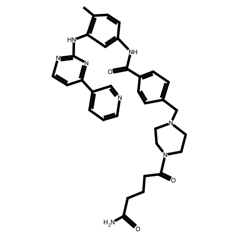 Cc1ccc(NC(=O)c2ccc(CN3CCN(C(=O)CCCC(N)=O)CC3)cc2)cc1Nc1nccc(-c2cccnc2)n1